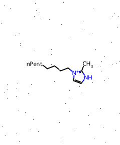 CCCCCCCCC[n+]1cc[nH]c1C